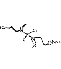 COCCNP(=O)(Cl)N(C)CCO